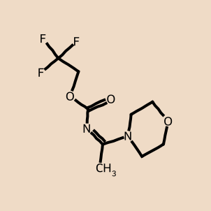 C/C(=N/C(=O)OCC(F)(F)F)N1CCOCC1